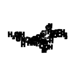 CNC(=O)CNC1CCN(C(=O)N[C@H](Cc2cc(Br)c(O)c(Br)c2)C(=O)N[C@@H](CCCCNC(=O)OC(C)(C)C)C(=O)N2CCC(c3ccncc3)CC2)CC1